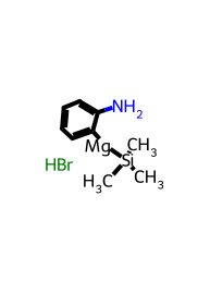 Br.C[Si](C)(C)[Mg][c]1ccccc1N